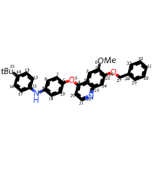 COc1cc2c(Oc3ccc(Nc4ccc(C(C)(C)C)cc4)cc3)ccnc2cc1OCc1ccccc1